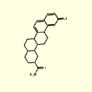 NC(=O)C1CCC2CCC3C4=CC=C5C=CC(=O)C=C5C4CCC3C2C1